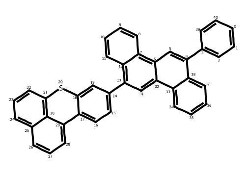 c1ccc(-c2cc3c4ccccc4c(-c4ccc5c(c4)Sc4cccc6cccc-5c46)cc3c3ccccc23)cc1